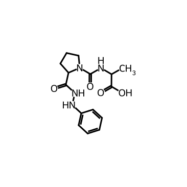 CC(NC(=O)N1CCCC1C(=O)NNc1ccccc1)C(=O)O